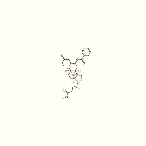 COC(=O)CC[C@@H](C)[C@H]1CC[C@H]2[C@@H]3C[C@H](OC(=O)c4ccccc4)C4CC(=O)CC[C@]4(C)[C@H]3CC[C@]12C